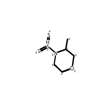 CC1COCCN1[SH](=S)=S